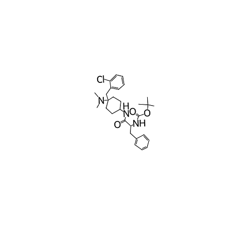 CN(C)C1(Cc2ccccc2Cl)CCC(NC(=O)C(Cc2ccccc2)NC(=O)OC(C)(C)C)CC1